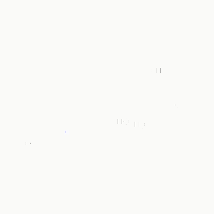 CC(C)C(C)CC(O)C/C=C/C=O